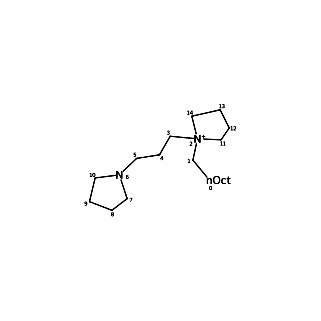 CCCCCCCCC[N+]1(CCCN2CCCC2)CCCC1